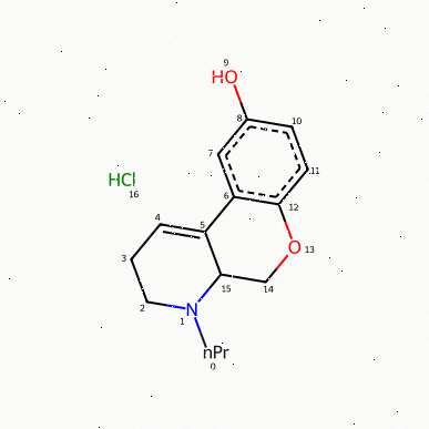 CCCN1CCC=C2c3cc(O)ccc3OCC21.Cl